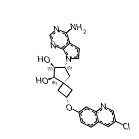 Nc1ncnc2c1ccn2[C@@H]1C[C@]2(C[C@@H](Oc3ccc4cc(Cl)cnc4c3)C2)[C@@H](O)[C@H]1O